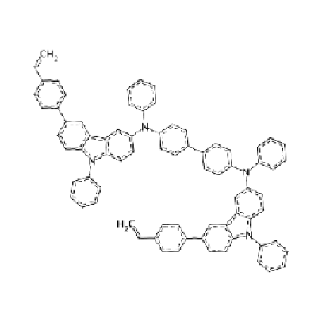 C=Cc1ccc(-c2ccc3c(c2)c2cc(N(c4ccccc4)c4ccc(-c5ccc(N(c6ccccc6)c6ccc7c(c6)c6cc(-c8ccc(C=C)cc8)ccc6n7-c6ccccc6)cc5)cc4)ccc2n3-c2ccccc2)cc1